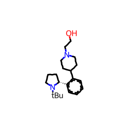 CC(C)(C)N1CCC[C@@H]1c1ccccc1C1CCN(CCO)CC1